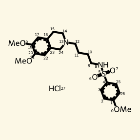 COc1ccc(S(=O)(=O)NCCCCN2CCc3cc(OC)c(OC)cc3C2)cc1.Cl